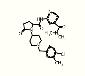 Cc1cc(CN2CCC(N3C(=O)CCC3C(=O)Nc3cc(C(=O)N(C)C)ccn3)CC2)ccc1Cl